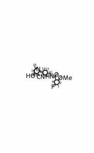 COc1ccc(F)cc1C(=O)NCc1ccc(-c2nc(C)cc(O)c2C#N)cc1